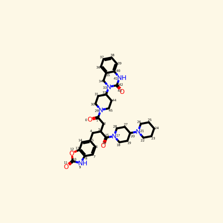 O=C(CC(Cc1ccc2[nH]c(=O)oc2c1)C(=O)N1CCC(N2CCCCC2)CC1)N1CCC(N2Cc3ccccc3NC2=O)CC1